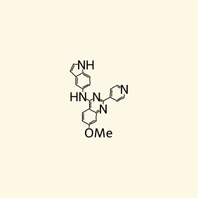 COc1ccc2c(Nc3ccc4[nH]ccc4c3)nc(-c3ccncc3)nc2c1